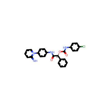 N=c1ccccn1-c1ccc(NC(=O)[C@H](OC(=O)Nc2ccc(Cl)cc2)c2ccccc2)cc1